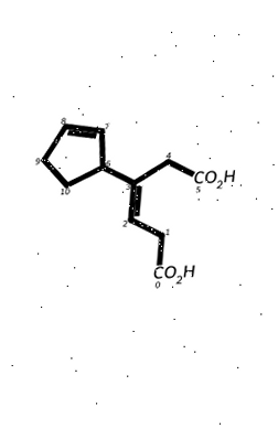 O=C(O)CC=C(CC(=O)O)C1C=CCC1